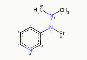 CCN(c1[c]nccc1)N(C)C